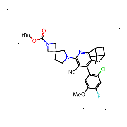 COc1cc(-c2c(C#N)c(N3CCC4(CN(C(=O)OC(C)(C)C)C4)C3)nc3c2CC2CC3C2(C)C)c(Cl)cc1F